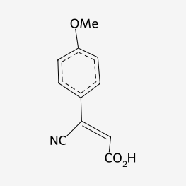 COc1ccc(C(C#N)=CC(=O)O)cc1